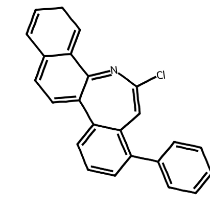 ClC1=Cc2c(-c3ccccc3)cccc2-c2ccc3c(c2=N1)=CCC=C3